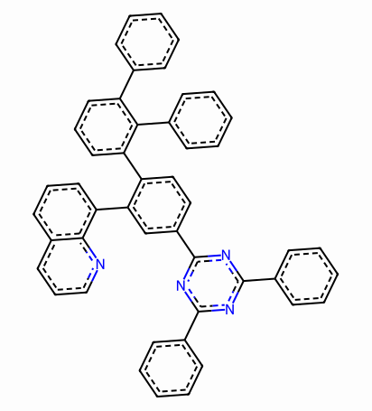 c1ccc(-c2nc(-c3ccccc3)nc(-c3ccc(-c4cccc(-c5ccccc5)c4-c4ccccc4)c(-c4cccc5cccnc45)c3)n2)cc1